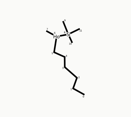 CCCCC[CH2][Ho]([CH3])[Si](C)(C)C